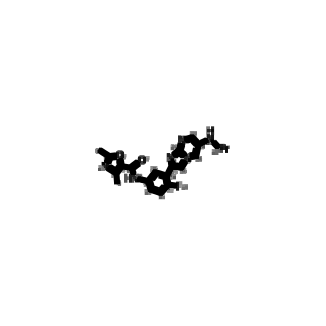 Cc1nc(C)c(C(=O)Nc2ccc(F)c(-c3cn4cc(NC(C)C)cnc4n3)c2)o1